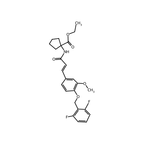 CCOC(=O)C1(NC(=O)C=Cc2ccc(OCc3c(F)cccc3F)c(OC)c2)CCCC1